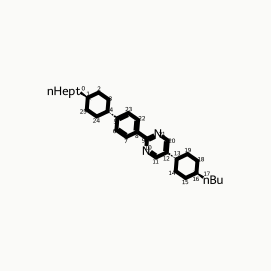 CCCCCCC[C@H]1CC[C@H](c2ccc(-c3ncc([C@H]4CC[C@H](CCCC)CC4)cn3)cc2)CC1